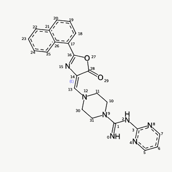 N=C(Nc1ncccn1)N1CCN(/C=C2/N=C(c3cccc4ccccc34)OC2=O)CC1